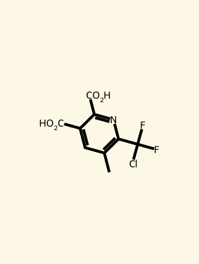 Cc1cc(C(=O)O)c(C(=O)O)nc1C(F)(F)Cl